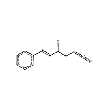 [N-]=[N+]=NCC(=O)C=Cc1ccccc1